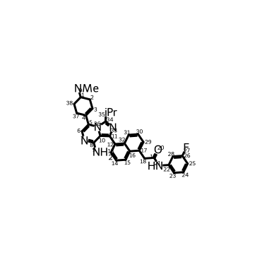 CNC1CC=C(c2cnc(N)c3c(-c4cccc5c(CC(=O)Nc6cccc(F)c6)cccc45)nc(C(C)C)n23)CC1